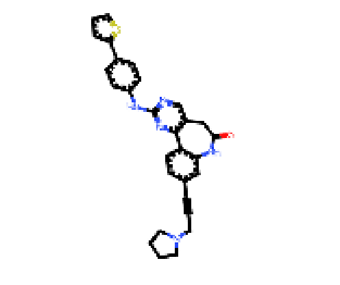 O=C1Cc2cnc(Nc3ccc(-c4cccs4)cc3)nc2-c2ccc(C#CCN3CCCC3)cc2N1